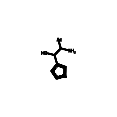 CC(=O)C(N)C(O)c1ccsc1